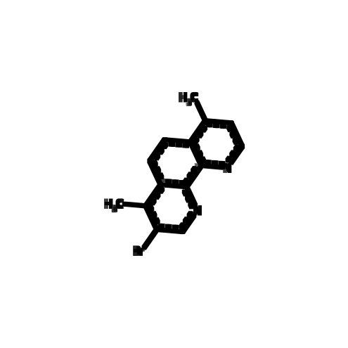 Cc1ccnc2c1ccc1c(C)c(Br)cnc12